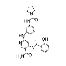 CC(Nc1cc(Nc2cccc(NC(=O)N3CCCC3)c2)ncc1C(N)=O)c1ccccc1O